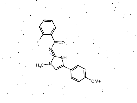 COc1ccc(-c2cn(C)/c(=N/C(=O)c3ccccc3F)[nH]2)cc1